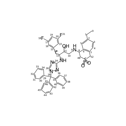 CCc1ccc2c(c1)C(NCC(O)C(Cc1cc(F)cc(F)c1)Nc1ncn(C(c3ccccc3)(c3ccccc3)c3ccccc3)n1)CS(=O)(=O)C2